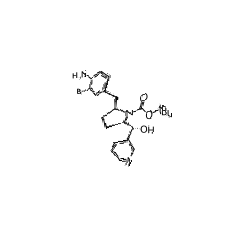 CC(C)(C)OC(=O)N1[C@H](Cc2ccc(N)c(Br)c2)CC[C@@H]1[C@H](O)c1cccnc1